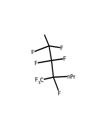 CCCC(F)(C(F)(F)F)C(F)(F)C(C)(F)F